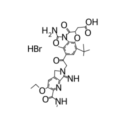 Br.CCOc1cc2c(nc1C(=O)NC)C(=N)N(CC(=O)c1cc(C(C)(C)C)c3c(c1C)N(C(N)=O)C(=O)C(CC(=O)O)O3)C2